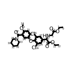 CCOC(=O)CNC(C(=O)OCC)c1cc(Cl)c(Oc2ccc(OC)c(C(=O)N3CCCCC3)c2)c(Cl)c1